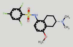 COc1ccc(NS(=O)(=O)c2c(F)cc(F)cc2F)c2c1C[C@@H](N(C)C)CC2